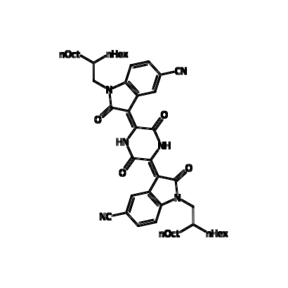 CCCCCCCCC(CCCCCC)CN1C(=O)/C(=c2\[nH]c(=O)/c(=C3/C(=O)N(CC(CCCCCC)CCCCCCCC)c4ccc(C#N)cc43)[nH]c2=O)c2cc(C#N)ccc21